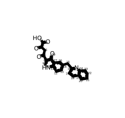 O=C(O)C(=O)CC(=O)c1c[nH]c2ccc(Cc3ccc4ccccc4n3)cc2c1=O